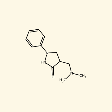 CN(C)CC1CN(c2ccccc2)NC1=O